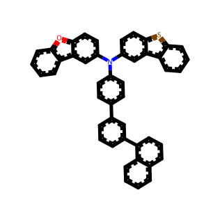 c1cc(-c2ccc(N(c3ccc4oc5ccccc5c4c3)c3ccc4sc5ccccc5c4c3)cc2)cc(-c2cccc3ccccc23)c1